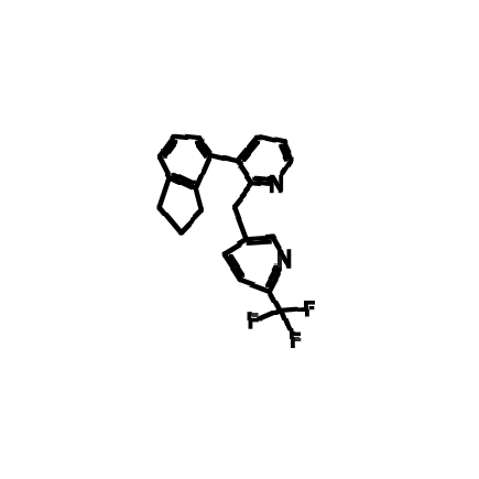 FC(F)(F)c1ccc(Cc2ncccc2-c2cccc3c2CCC3)cn1